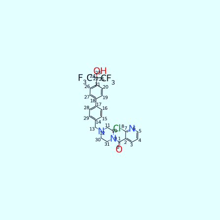 O=C(c1cccnc1Cl)N1CCN(Cc2ccc(-c3ccc(C(O)(C(F)(F)F)C(F)(F)F)cc3)cc2)CC1